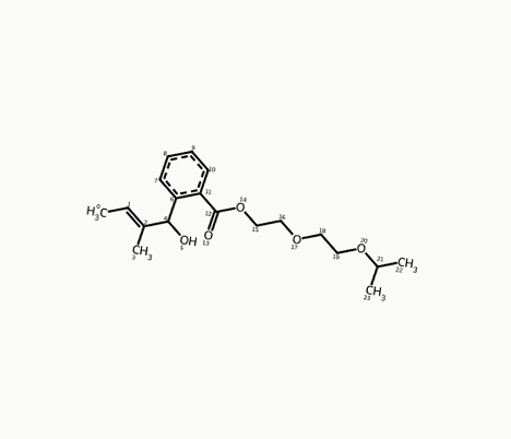 CC=C(C)C(O)c1ccccc1C(=O)OCCOCCOC(C)C